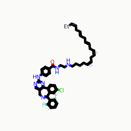 CC/C=C\CC=CCC=CC/C=C\C/C=C\CCCCNCCNC(=O)c1ccc(Nc2ncc3c(n2)-c2ccc(Cl)cc2C(c2c(F)cccc2F)=NC3)cc1